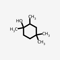 CC1CC(C)(C)CCC1(C)O